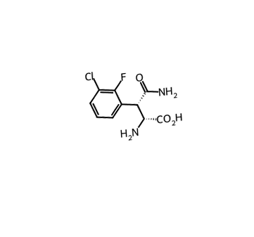 NC(=O)[C@@H](c1cccc(Cl)c1F)[C@@H](N)C(=O)O